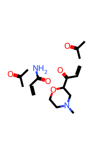 C=CC(=O)C1CN(C)CCO1.C=CC(N)=O.CC(C)=O.CC(C)=O